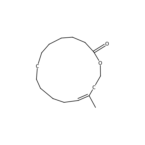 C/C1=C/CCCCCCCCCCC(=O)OCC1